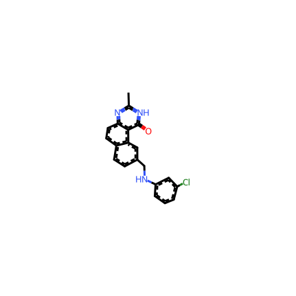 Cc1nc2ccc3ccc(CNc4cccc(Cl)c4)cc3c2c(=O)[nH]1